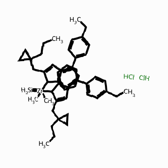 CCCC1(CC2=Cc3c(-c4ccc(CC)cc4)cccc3[CH]2[Zr]([CH3])([CH3])(=[SiH2])[CH]2C(CC3(CCC)CC3)=Cc3c(-c4ccc(CC)cc4)cccc32)CC1.Cl.Cl